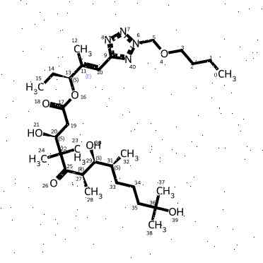 CCCCOCn1nnc(/C=C(\C)[C@H](CC)OC(=O)C[C@H](O)C(C)(C)C(=O)[C@H](C)[C@@H](O)[C@@H](C)CCCC(C)(C)O)n1